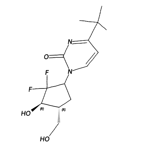 CC(C)(C)c1ccn(C2C[C@H](CO)[C@@H](O)C2(F)F)c(=O)n1